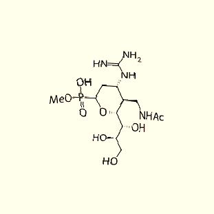 COP(=O)(O)C1C[C@H](NC(=N)N)[C@@H](CNC(C)=O)[C@H]([C@H](O)[C@H](O)CO)O1